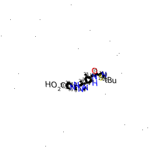 C/C(=N\c1ncnc(-c2ccc(CNC(=O)c3cnc(C(C)(C)C)s3)c(C)c2)c1C)N1CCC(C(=O)O)CC1